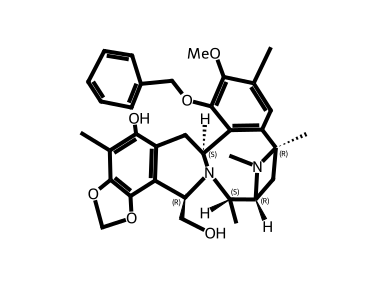 COc1c(C)cc2c(c1OCc1ccccc1)[C@@H]1Cc3c(O)c(C)c4c(c3[C@H](CO)N1[C@@H](C)[C@H]1C[C@@]2(C)N1C)OCO4